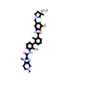 Cc1c(-c2nc3cc(CN4CC[C@](C)(C(=O)O)C4)cc(Cl)c3o2)cccc1-c1cccc(NC(=O)c2nc3c(n2C)CCN(C)C3)c1C#N